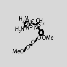 COCCOCCOCCOc1cc(-c2nc([C@H](C)Sc3nc(N)cc(N)n3)c(C)s2)ccc1OC